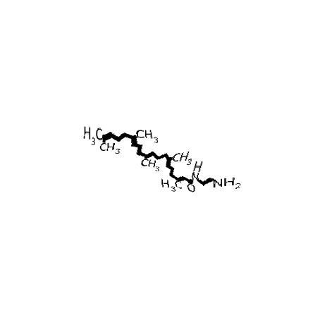 CC(C)=CCCC(C)=CCCC(C)=CCCC(C)=CCCC(C)=CC(=O)NCCN